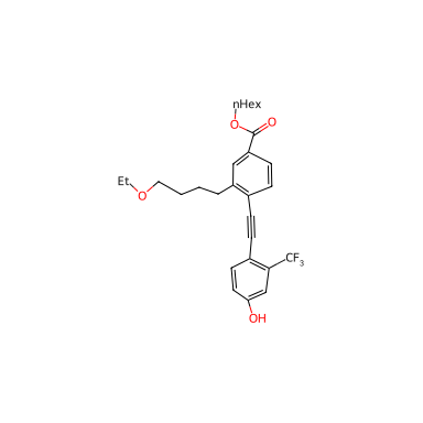 CCCCCCOC(=O)c1ccc(C#Cc2ccc(O)cc2C(F)(F)F)c(CCCCOCC)c1